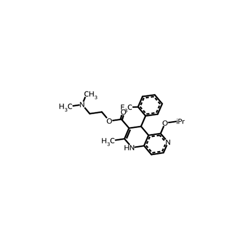 CC1=C(C(=O)OCCN(C)C)C(c2ccccc2C(F)(F)F)c2c(ccnc2OC(C)C)N1